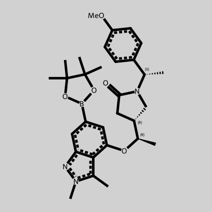 COc1ccc([C@H](C)N2C[C@H]([C@@H](C)Oc3cc(B4OC(C)(C)C(C)(C)O4)cc4nn(C)c(C)c34)CC2=O)cc1